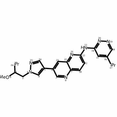 COC(Cn1cc(-c2cnc3ccc(Nc4cc(C(C)C)cnn4)nc3c2)cn1)C(C)C